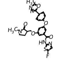 Cc1nnc(-c2ccc(Oc3cc(OCC4CCN(C)C4=O)cc(C(=O)Nc4ncc(F)s4)c3)cc2)o1